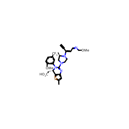 C#C/C(=C\C=N/COC)N1CCN(C2=Nc3cc(C)sc3[C@H](CC(=O)O)N2c2cc(C(F)(F)F)ccc2OC)C[C@H]1C